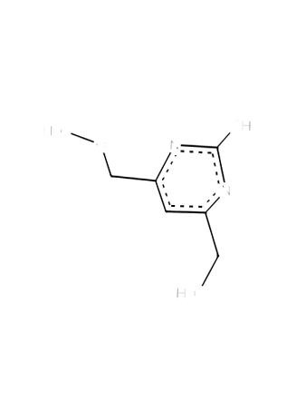 CCc1cc(COC)nc(C)n1